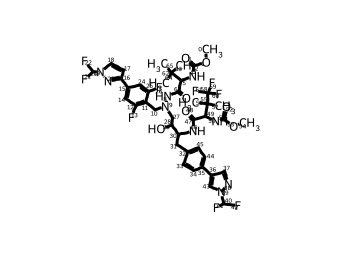 COC(=O)NC(C(=O)NN(Cc1c(F)cc(-c2ccn(C(F)F)n2)cc1F)CC(O)C(Cc1ccc(-c2cnn(C(F)F)c2)cc1)NC(=O)C(NC(=O)OC)C(C)(C)C(F)(F)F)C(C)(C)C